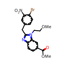 COCCn1c(Cc2ccc(Br)c([N+](=O)[O-])c2)nc2ccc(C(=O)OC)cc21